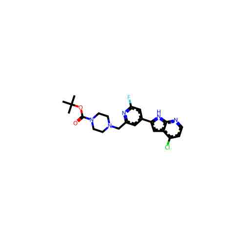 CC(C)(C)OC(=O)N1CCN(Cc2cc(-c3cc4c(Cl)ccnc4[nH]3)cc(F)n2)CC1